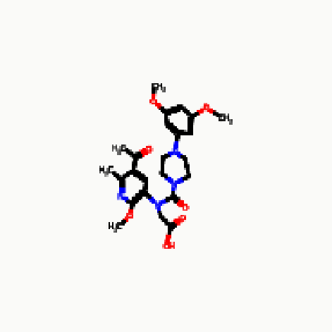 COc1cc(OC)cc(N2CCN(C(=O)N(CC(=O)O)c3cc(C(C)=O)c(C)nc3OC)CC2)c1